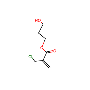 C=C(CCl)C(=O)OCCCO